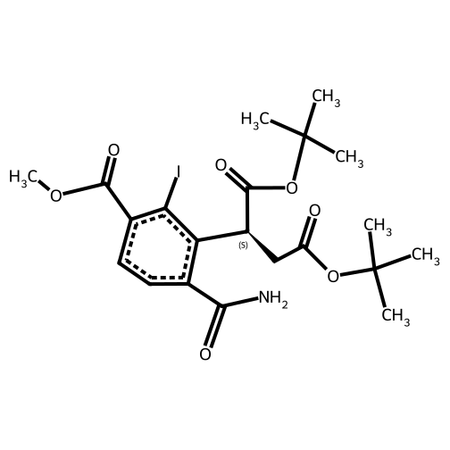 COC(=O)c1ccc(C(N)=O)c([C@H](CC(=O)OC(C)(C)C)C(=O)OC(C)(C)C)c1I